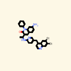 C=C(NC1CC=C(Cc2ccnc3cc(CC)c(CC)cc23)C=N1)c1cc2ccc(N)cc2n(-c2ccccc2)c1=O